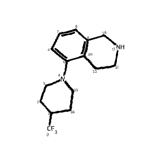 FC(F)(F)C1CCN(c2cccc3c2CCNC3)CC1